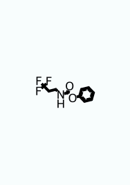 O=C(NCCC(F)(F)F)Oc1ccccc1